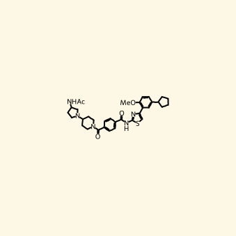 COc1ccc(C2CCCC2)cc1-c1csc(NC(=O)c2ccc(C(=O)N3CCC(N4CCC(NC(C)=O)C4)CC3)cc2)n1